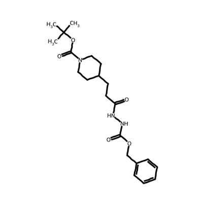 CC(C)(C)OC(=O)N1CCC(CCC(=O)NNC(=O)OCc2ccccc2)CC1